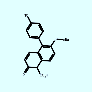 CCCCSc1ccc2c(c1-c1ccc(C#N)cc1)C=CC(=S)C2C(=O)O